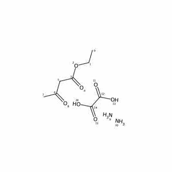 CCOC(=O)CC(C)=O.N.N.O=C(O)C(=O)O